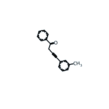 Cc1cccc(C#CCC(=O)c2ccccc2)c1